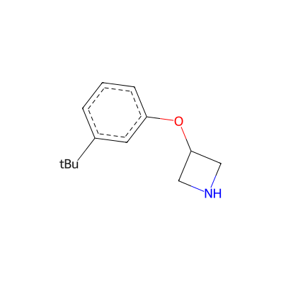 CC(C)(C)c1cccc(OC2CNC2)c1